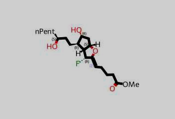 CCCCC[C@H](O)CC[C@@H]1[C@@H]2[C@H](C[C@H]1O)O/C(=C\CCCC(=O)OC)[C@@H]2F